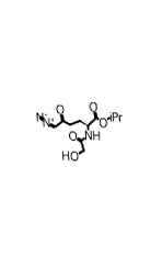 CC(C)OC(=O)[C@H](CCC(=O)C=[N+]=[N-])NC(=O)CO